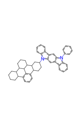 c1ccc(-n2c3ccccc3c3cc4c(cc32)c2ccccc2n4C2CCC3c4cccc5c4C4C(CCCC4C3C2)C2CCCCC52)cc1